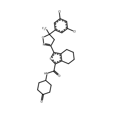 O=C1CCC(NC(=O)c2sc(C3=NOC(c4cc(Cl)cc(Cl)c4)(C(F)(F)F)C3)c3c2CCCC3)CC1